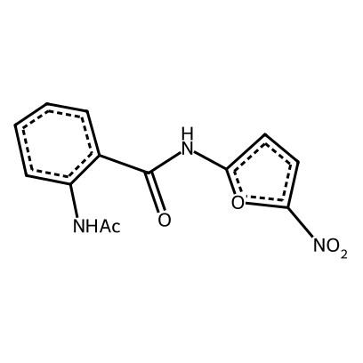 CC(=O)Nc1ccccc1C(=O)Nc1ccc([N+](=O)[O-])o1